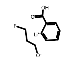 O=C(O)c1ccccc1.[Li+].[O-]CCCF